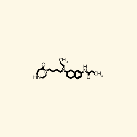 CCCN(CCCCN1CCNCCC1=O)C1CCc2ccc(NC(=O)CC)cc2C1